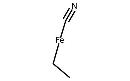 C[CH2][Fe][C]#N